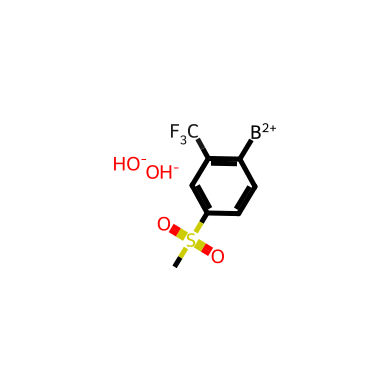 [B+2]c1ccc(S(C)(=O)=O)cc1C(F)(F)F.[OH-].[OH-]